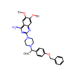 CCOc1cc2nc(N3CCN([C@H](C=O)c4ccc(OCc5ccccc5)cc4)CC3)nc(N)c2cc1OCC